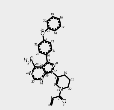 C=CC(=O)N1C=C(n2nc(-c3ccc(Oc4ccccc4)cc3)c3c(N)ncnc32)CCC1